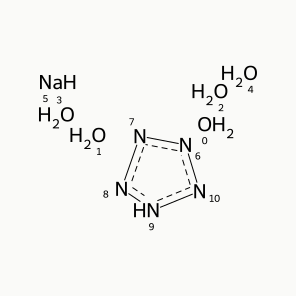 O.O.O.O.O.[NaH].n1nn[nH]n1